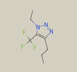 CCCc1nnn(CC)c1C(F)(F)F